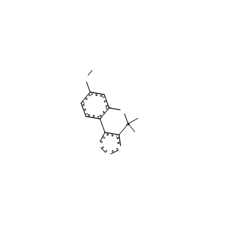 CCCCCCCCOc1ccc2c(c1)OC(C)(C)c1[se]nnc1-2